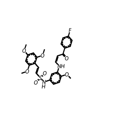 COc1cc(OC)c(/C=C/S(=O)(=O)Nc2ccc(OC)c(N/C=C\C(=O)c3ccc(F)cc3)c2)c(OC)c1